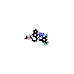 CC(C)OC(=O)N1CCC[C@H](N(Cc2cc(C(F)(F)F)cc(C(F)(F)F)c2)c2nnn(C)n2)c2cc3c(cc21)CCC3